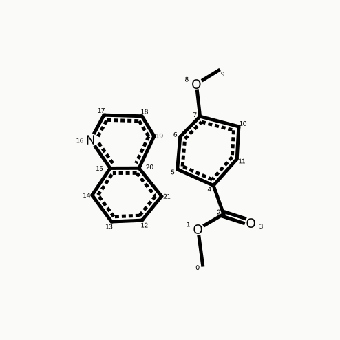 COC(=O)c1ccc(OC)cc1.c1ccc2ncccc2c1